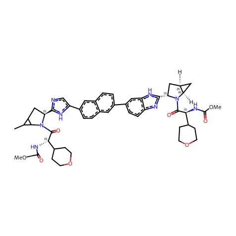 COC(=O)N[C@H](C(=O)N1C2C(C)C2C[C@H]1c1ncc(-c2ccc3cc(-c4ccc5nc([C@@H]6C[C@H]7C[C@H]7N6C(=O)[C@@H](NC(=O)OC)C6CCOCC6)[nH]c5c4)ccc3c2)[nH]1)C1CCOCC1